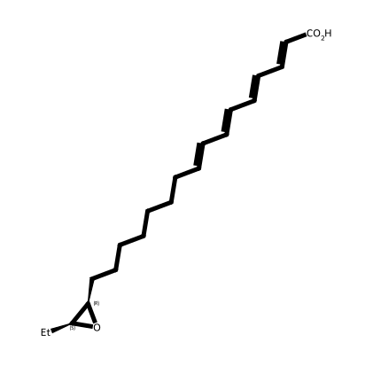 CC[C@@H]1O[C@@H]1CCCCCCCC=CC=CC=CC=CC(=O)O